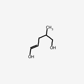 CC(CO)CC=CO